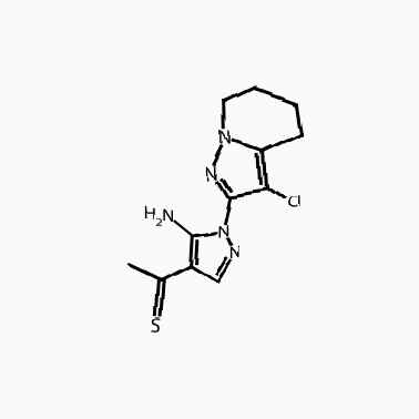 CC(=S)c1cnn(-c2nn3c(c2Cl)CCCC3)c1N